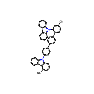 N#Cc1ccc(-c2ccc(-c3ccc(-n4c5ccccc5c5c(C#N)cccc54)cc3)cc2)c(-n2c3ccccc3c3ccccc32)c1